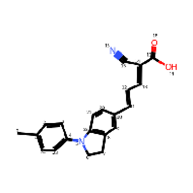 Cc1ccc(N2CCc3cc(/C=C/C=C(\C#N)C(=O)O)ccc32)cc1